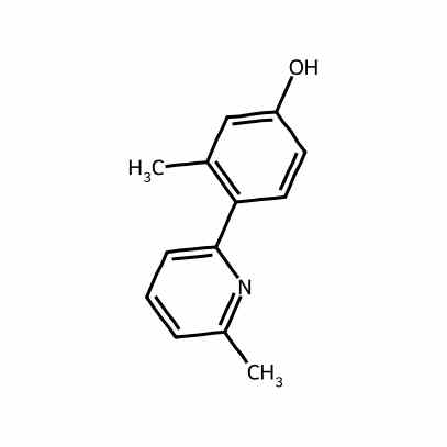 Cc1cccc(-c2ccc(O)cc2C)n1